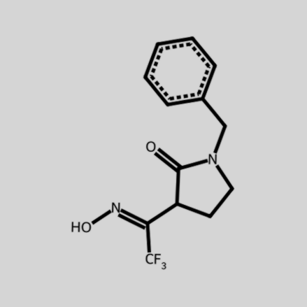 O=C1C(C(=NO)C(F)(F)F)CCN1Cc1ccccc1